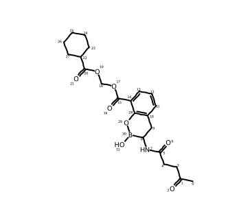 CC(=O)CCC(=O)NC1Cc2cccc(C(=O)OCOC(=O)C3CCCCC3)c2OB1O